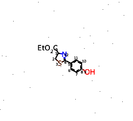 CCOC(=O)C1CSC(c2ccc(O)cc2)=N1